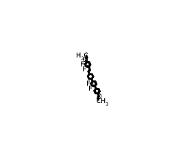 CCOc1ccc(-c2ccc(C3CCC(/C=C/c4ccc(OCC)c(F)c4F)CC3)c(F)c2F)cc1